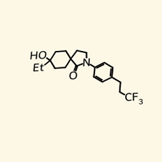 CCC1(O)CCC2(CCN(c3ccc(CCC(F)(F)F)cc3)C2=O)CC1